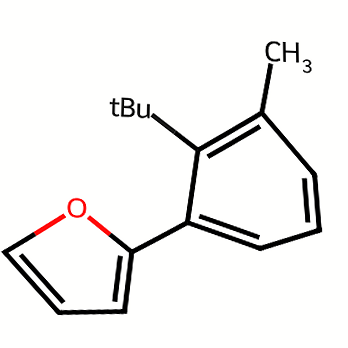 Cc1cccc(-c2ccco2)c1C(C)(C)C